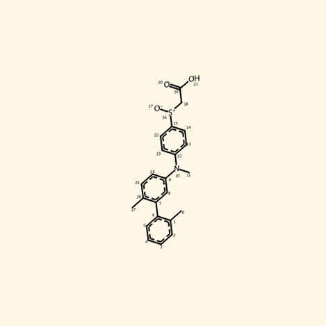 Cc1ccccc1-c1cc(N(C)c2ccc([S+]([O-])CC(=O)O)cc2)ccc1C